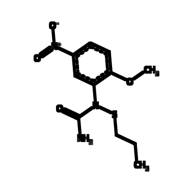 CCCSN(C(N)=O)c1cc([N+](=O)[O-])ccc1OC